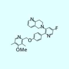 COc1c(C)cnc(COc2ccc(-c3ncc(F)cc3N3CCc4ncccc4C3)cc2)c1C